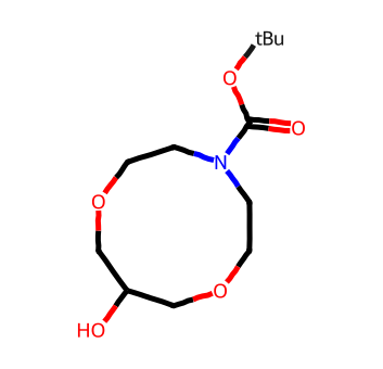 CC(C)(C)OC(=O)N1CCOCC(O)COCC1